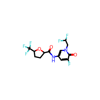 O=C(Nc1cc(F)c(=O)n(CC(F)F)c1)C1CCC(C(F)(F)F)O1